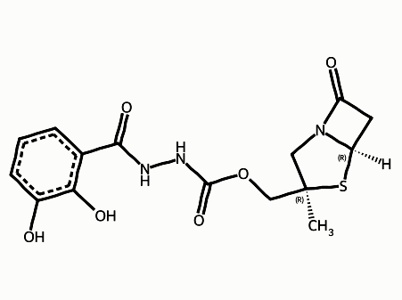 C[C@]1(COC(=O)NNC(=O)c2cccc(O)c2O)CN2C(=O)C[C@H]2S1